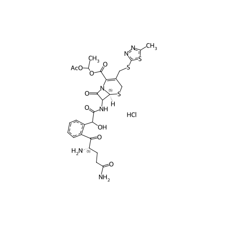 CC(=O)OC(C)OC(=O)C1=C(CSc2nnc(C)s2)CS[C@H]2C(NC(=O)C(O)c3ccccc3C(=O)[C@@H](N)CCC(N)=O)C(=O)N12.Cl